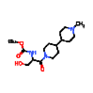 CN1CCC(C2CCN(C(=O)[C@@H](CO)NC(=O)OC(C)(C)C)CC2)CC1